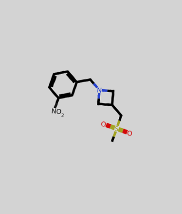 CS(=O)(=O)CC1CN(Cc2cccc([N+](=O)[O-])c2)C1